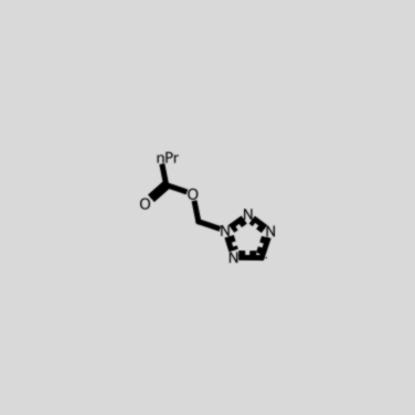 CCCC(=O)OCn1n[c]nn1